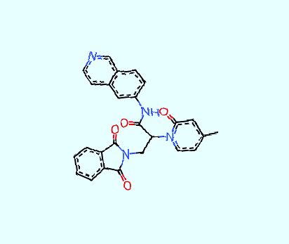 Cc1ccn(C(CN2C(=O)c3ccccc3C2=O)C(=O)Nc2ccc3cnccc3c2)c(=O)c1